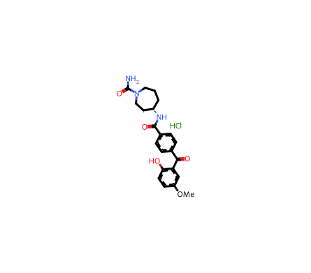 COc1ccc(O)c(C(=O)c2ccc(C(=O)N[C@@H]3[CH]CN(C(N)=O)CCC3)cc2)c1.Cl